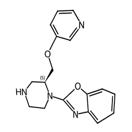 c1cncc(OC[C@@H]2CNCCN2c2nc3ccccc3o2)c1